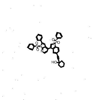 O=S(=O)(c1ccccc1)n1cc(-c2ccnc3c2cc(-c2ccccc2)n3S(=O)(=O)c2ccccc2)c2cc(C#CC3(O)CCCCC3)ccc21